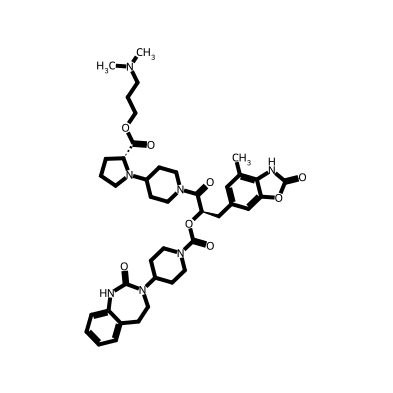 Cc1cc(C[C@@H](OC(=O)N2CCC(N3CCc4ccccc4NC3=O)CC2)C(=O)N2CCC(N3CCC[C@@H]3C(=O)OCCCN(C)C)CC2)cc2oc(=O)[nH]c12